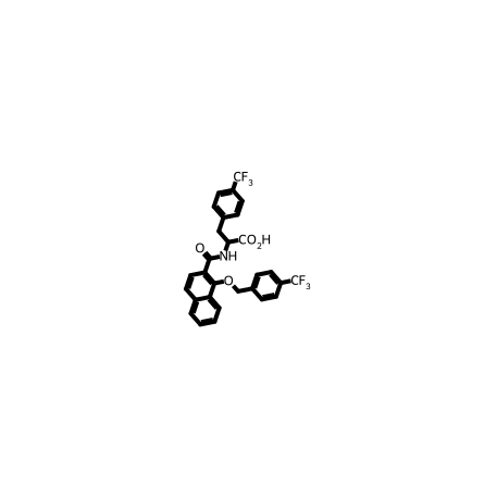 O=C(NC(Cc1ccc(C(F)(F)F)cc1)C(=O)O)c1ccc2ccccc2c1OCc1ccc(C(F)(F)F)cc1